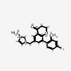 Cc1cc(F)ccc1-c1cc(CN2C=CN(C)C2)cc2c1OCCC2=O